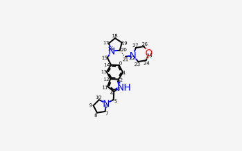 c1cc2[nH]c(CN3CCCC3)cc2cc1CN1CCC[C@@H]1CN1CCOCC1